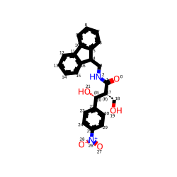 O=C(NCC1c2ccccc2-c2ccccc21)[C@H](CO)[C@@H](O)c1ccc([N+](=O)[O-])cc1